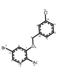 CC(=O)c1ncc(Br)cc1OCc1cccc(Cl)c1